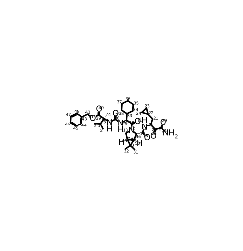 CC(C)[C@](C)(NC(=O)N[C@H](C(=O)N1C[C@H]2[C@@H]([C@H]1C(=O)NC(CC1CC1)C(=O)C(N)=O)C2(C)C)C1CCCCC1)C(=O)OCc1ccccc1